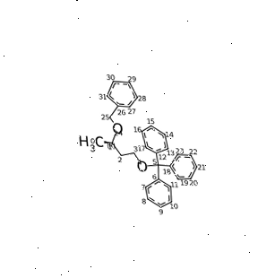 C[C@H](CCOC(c1ccccc1)(c1ccccc1)c1ccccc1)OCc1ccccc1